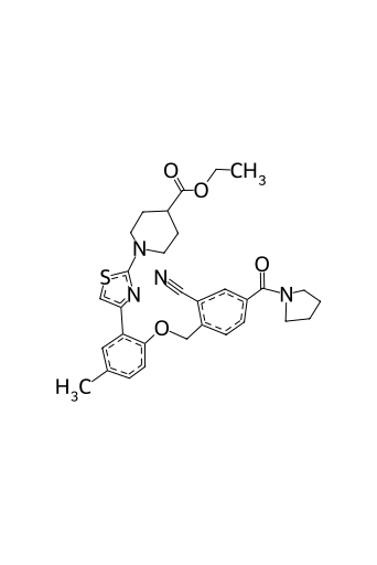 CCOC(=O)C1CCN(c2nc(-c3cc(C)ccc3OCc3ccc(C(=O)N4CCCC4)cc3C#N)cs2)CC1